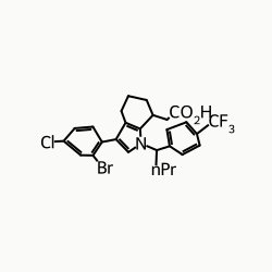 CCCC(c1ccc(C(F)(F)F)cc1)n1cc(-c2ccc(Cl)cc2Br)c2c1C(CC(=O)O)CCC2